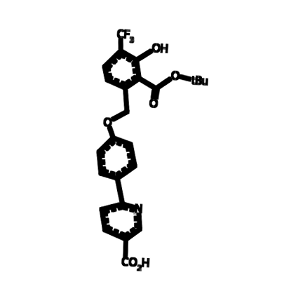 CC(C)(C)OC(=O)c1c(COc2ccc(-c3ccc(C(=O)O)cn3)cc2)ccc(C(F)(F)F)c1O